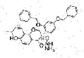 CC(C)/C=C\c1c(O)ccc2c1OC[C@@]1(c3ccc(OCc4ccccc4)cc3OCc3ccccc3)ONOC21.N